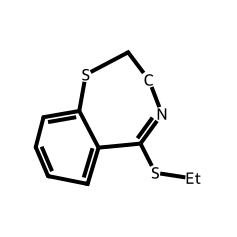 CCSC1=NCCSc2ccccc21